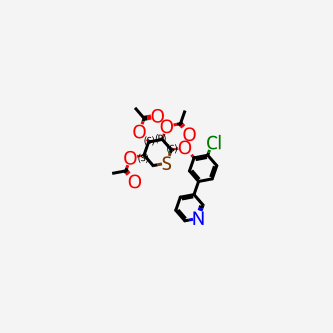 CC(=O)O[C@@H]1[C@@H](OC(C)=O)[C@@H](Oc2cc(-c3cccnc3)ccc2Cl)SC[C@H]1OC(C)=O